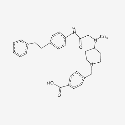 CN(CC(=O)Nc1ccc(CCc2ccccc2)cc1)C1CCN(Cc2ccc(C(=O)O)cc2)CC1